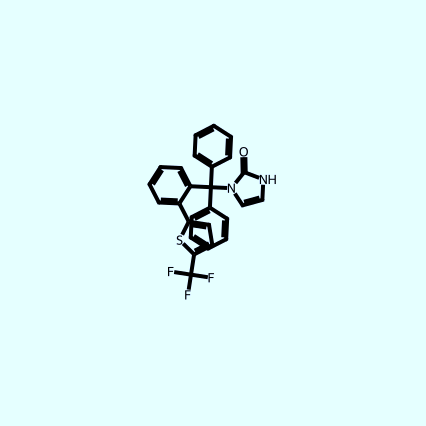 O=c1[nH]ccn1C(c1ccccc1)(c1ccccc1)c1ccccc1-c1ccc(C(F)(F)F)s1